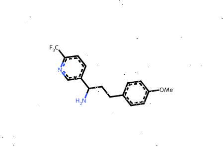 COc1ccc(CCC(N)c2ccc(C(F)(F)F)nc2)cc1